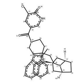 Cc1nc2ccccc2n1[C@H]1C[C@H]2CC[C@@H](C1)N2CCC1(c2ccccc2)CCN(C(=O)c2c[nH]c(=O)c(Cl)c2)CC1